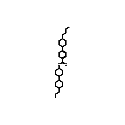 CCCCC1CCC(c2ccc(C(=O)OC3CCC(C4CCC(CCC)CC4)CC3)cc2)CC1